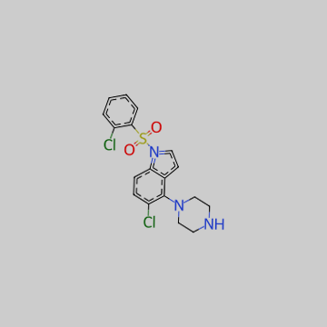 O=S(=O)(c1ccccc1Cl)n1ccc2c(N3CCNCC3)c(Cl)ccc21